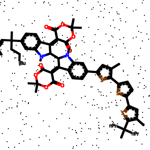 C/C=C\C(C)(CCC(C)CC)c1ccc2c(c1)N(C)C(C1C(=C3C(=O)OC(C)(C)OC3=O)c3ccc(-c4cc(C)c(-c5ccc(-c6cc(C)c(C(C)(CCC)CCC)s6)s5)s4)cc3N1C)C2=C1C(=O)OC(C)(C)OC1=O